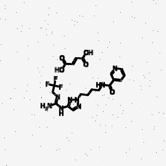 NC(=NCC(F)(F)F)Nc1cnn(CCCCNC(=O)c2cccnc2)n1.O=C(O)C=CC(=O)O